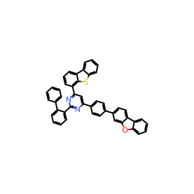 c1ccc(-c2ccccc2-c2nc(-c3ccc(-c4ccc5c(c4)oc4ccccc45)cc3)cc(-c3cccc4c3sc3ccccc34)n2)cc1